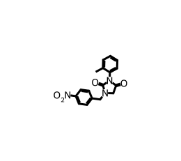 Cc1ccccc1N1C(=O)CN(Cc2ccc([N+](=O)[O-])cc2)C1=O